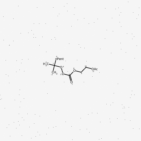 CCCCCC(C)(C)OOC(=O)OCCOC(C)=O